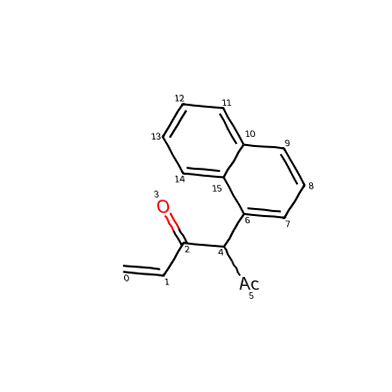 C=CC(=O)C(C(C)=O)c1cccc2ccccc12